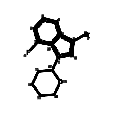 Fc1cccc2c(Br)nn(C3CCCCO3)c12